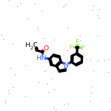 C=CC(=O)Nc1ccc2c(ccn2-c2cccc(C(F)(F)F)c2)c1